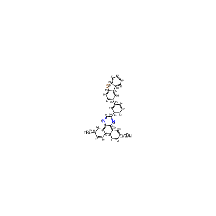 CC(C)(C)c1ccc2c3c(c4ncc(-c5cccc(-c6ccc7sc8ccccc8c7c6)c5)nc4c2c1)CC(C(C)(C)C)C=C3